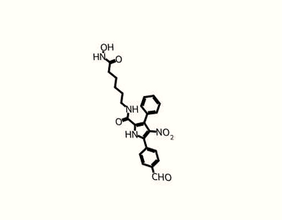 O=Cc1ccc(-c2[nH]c(C(=O)NCCCCCC(=O)NO)c(-c3ccccc3)c2[N+](=O)[O-])cc1